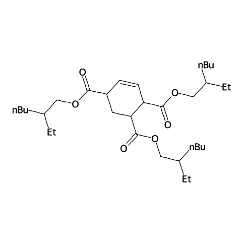 CCCCC(CC)COC(=O)C1C=CC(C(=O)OCC(CC)CCCC)C(C(=O)OCC(CC)CCCC)C1